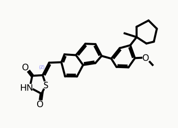 COc1ccc(-c2ccc3cc(/C=C4\SC(=O)NC4=O)ccc3c2)cc1C1(C)CCCCC1